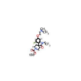 CN(C)CCOc1cc(F)c2c(c1)N(CC(F)(F)F)C(=O)C21CCN(C(=O)OC(C)(C)C)CC1